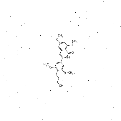 COc1cc(OC)c2c(=O)[nH]c(-c3cc(OC)c(CCCO)c(OC)c3)nc2c1